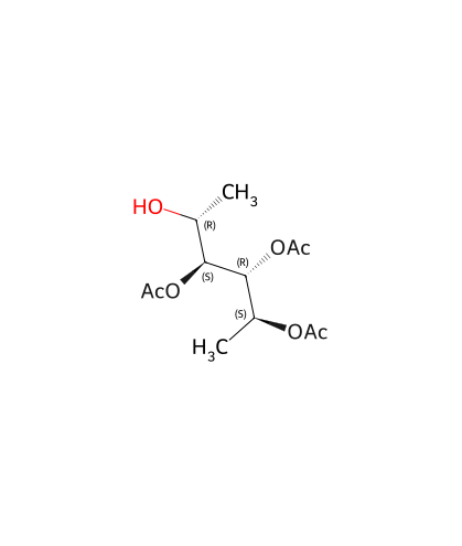 CC(=O)O[C@H]([C@H](OC(C)=O)[C@H](C)OC(C)=O)[C@@H](C)O